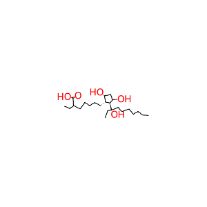 CCCCCCCC(O)(CC)[C@@H]1C(O)CC(O)[C@H]1CCCCCC(CC)C(=O)O